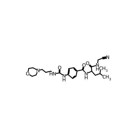 CC(C)CC(NC(=O)c1ccc(NC(=O)NCCCN2CCOCC2)cc1)C(=O)NCC#N